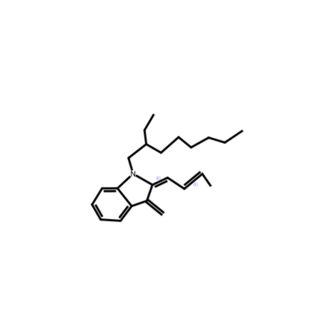 C=c1/c(=C\C=C\C)n(CC(CC)CCCCCC)c2ccccc12